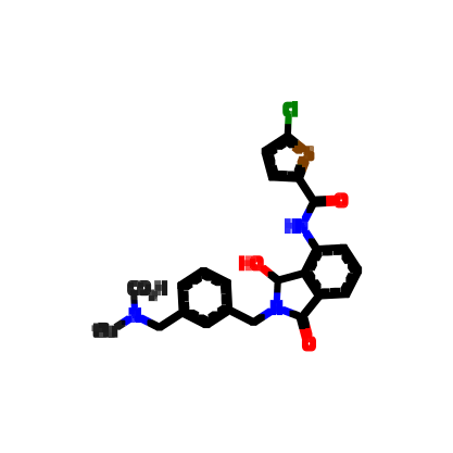 CC(C)(C)N(Cc1cccc(CN2C(=O)c3cccc(NC(=O)c4ccc(Cl)s4)c3C2O)c1)C(=O)O